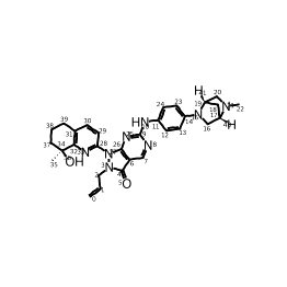 C=CCn1c(=O)c2cnc(Nc3ccc(N4C[C@@H]5C[C@H]4CN5C)cc3)nc2n1-c1ccc2c(n1)[C@@](C)(O)CCC2